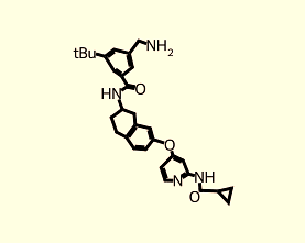 CC(C)(C)c1cc(CN)cc(C(=O)NC2CCc3ccc(Oc4ccnc(NC(=O)C5CC5)c4)cc3C2)c1